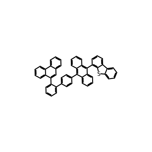 c1ccc(-c2cc3ccccc3c3ccccc23)c(-c2ccc(-c3c4ccccc4c(-c4cccc5c4sc4ccccc45)c4ccccc34)cc2)c1